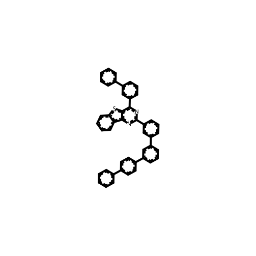 c1ccc(-c2ccc(-c3cccc(-c4cccc(-c5nc(-c6cccc(-c7ccccc7)c6)c6sc7ccccc7c6n5)c4)c3)cc2)cc1